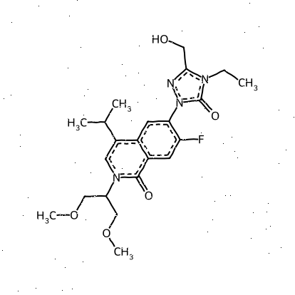 CCn1c(CO)nn(-c2cc3c(C(C)C)cn(C(COC)COC)c(=O)c3cc2F)c1=O